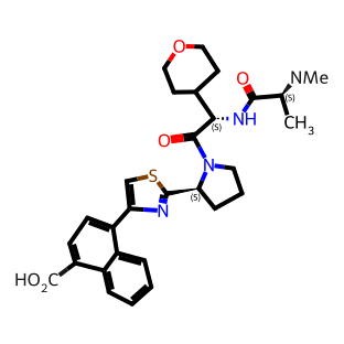 CN[C@@H](C)C(=O)N[C@H](C(=O)N1CCC[C@H]1c1nc(-c2ccc(C(=O)O)c3ccccc23)cs1)C1CCOCC1